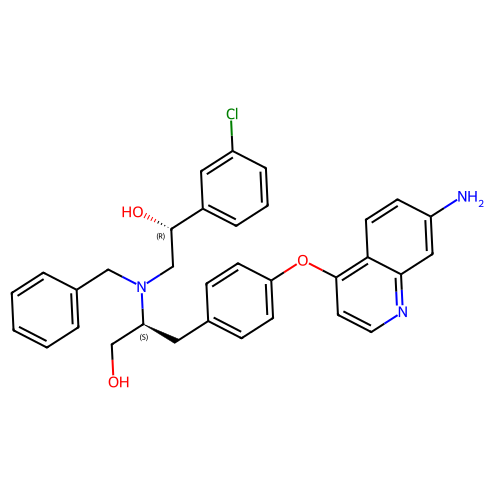 Nc1ccc2c(Oc3ccc(C[C@@H](CO)N(Cc4ccccc4)C[C@H](O)c4cccc(Cl)c4)cc3)ccnc2c1